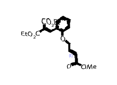 CCOC(=O)C(=Cc1ccccc1OC/C=C/C(=O)OC)C(=O)OCC